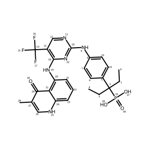 CCC(CC)(c1ccc(Nc2ncc(C(F)(F)F)c(Nc3cccc4[nH]cc(C)c(=O)c34)n2)cc1)P(=O)(O)O